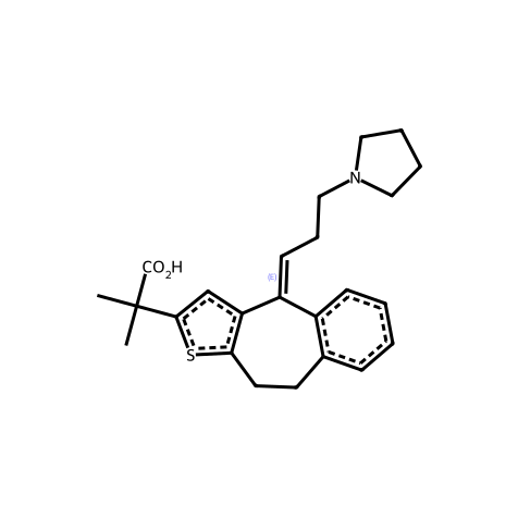 CC(C)(C(=O)O)c1cc2c(s1)CCc1ccccc1/C2=C\CCN1CCCC1